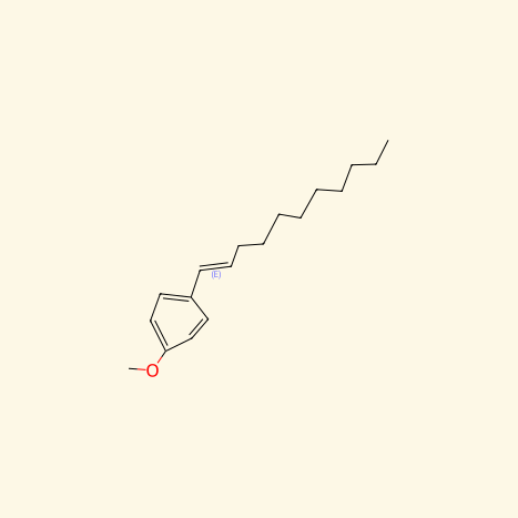 CCCCCCCCC/C=C/c1ccc(OC)cc1